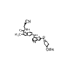 C#CCNC(=O)n1c(C)cc2cc(Nc3ccnc4cc(C(=O)N5CC[C@@H](OC)C5)sc34)ccc21